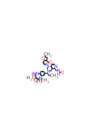 CCC(c1ccc2c(c1)N(C)C(=O)C(C)(C)C(=O)N2)N(CCn1ccc2oc(C)cc2c1=O)Cc1cccnc1CNC=O